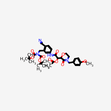 COc1ccc(CN2CCOC(C(OC(C)=O)C(=O)Nc3ccc(C#N)c(CN(C(=O)OC(C)(C)C)C(=O)OC(C)(C)C)c3)C2=O)cc1